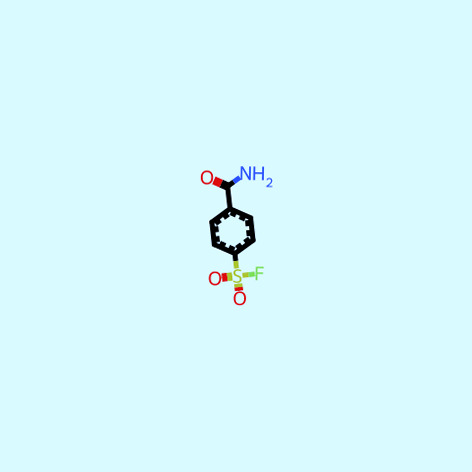 NC(=O)c1ccc(S(=O)(=O)F)cc1